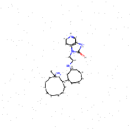 CC1(N)CCCCCCCCC(C2CCCCCC(NCCn3c(=O)[nH]c4cnccc43)C2)C1